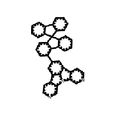 c1ccc2c(c1)-c1ccccc1C21c2ccccc2-c2c(-c3cc4c5ccncc5n5c6cnccc6c(c3)c45)cccc21